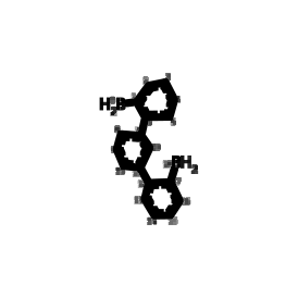 Bc1ccccc1-c1cccc(-c2ccccc2B)c1